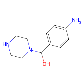 Nc1ccc(C(O)N2CCNCC2)cc1